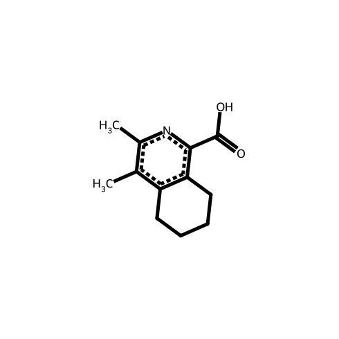 Cc1nc(C(=O)O)c2c(c1C)CCCC2